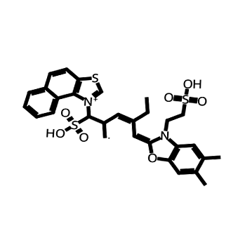 [CH2]C(C=C(C=C1Oc2cc(C)c(C)cc2N1CCS(=O)(=O)O)CC)C([n+]1csc2ccc3ccccc3c21)S(=O)(=O)O